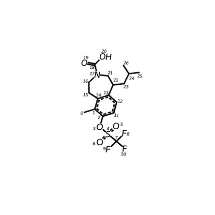 Cc1c(OS(=O)(=O)C(F)(F)F)ccc2c1CCN(C(=O)O)CC2CC(C)C